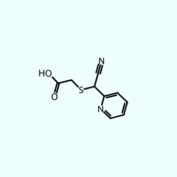 N#CC(SCC(=O)O)c1ccccn1